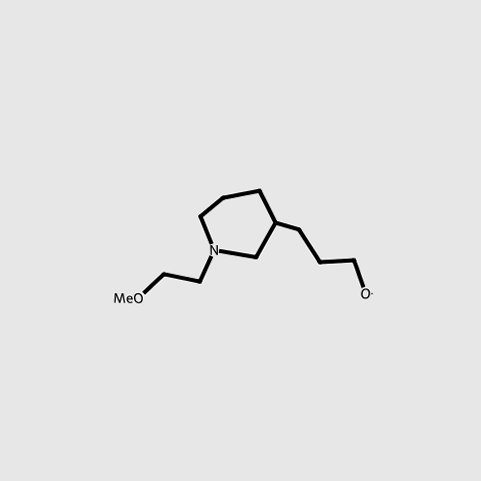 COCCN1CCCC(CCC[O])C1